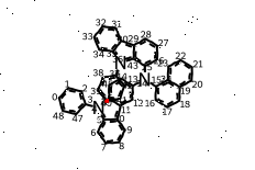 c1ccc(-n2c3ccccc3c3cc(N(c4cccc5ccccc45)c4cccc5c6ccccc6n(-c6ccccc6)c45)ccc32)cc1